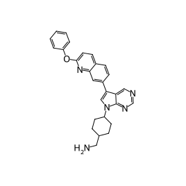 NCC1CCC(n2cc(-c3ccc4ccc(Oc5ccccc5)nc4c3)c3cncnc32)CC1